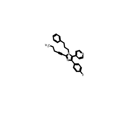 CCCC#Cc1nc(-c2ccc(F)cc2)c(-c2ccncc2)n1CCCc1ccccc1